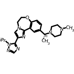 CC(C)n1ncnc1-c1cn2c(n1)-c1cc([C@@H](C)N3CCN(C)CC3)ccc1OCC2